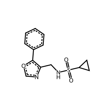 O=S(=O)(NCc1ncoc1-c1ccccc1)C1CC1